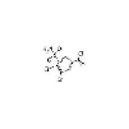 NS(=O)(=O)c1cc(C(=O)Cl)cc(Br)c1Cl